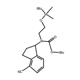 CC(C)(C)OC(=O)N(CCO[Si](C)(C)C(C)(C)C)C1CCc2c(C#N)cccc21